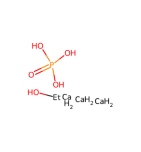 CCO.O=P(O)(O)O.[CaH2].[CaH2].[CaH2]